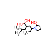 CCC(CC(CC(C)C)C(O)O)N1CCCC1O